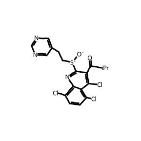 CC(C)C(=O)c1c([S+]([O-])CCc2cncnc2)nc2c(Cl)ccc(Cl)c2c1Cl